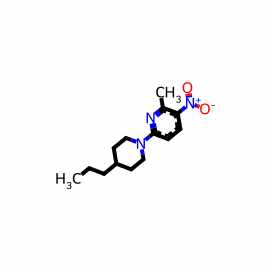 CCCC1CCN(c2ccc([N+](=O)[O-])c(C)n2)CC1